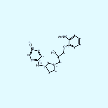 CC(=O)Nc1ccccc1OCC(O)CN1CCC(Nc2ccc(Cl)cc2)C1